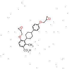 Cc1c(C(=O)O)ccc(OCC2CO2)c1C1CCC(c2ccc(OCC3CO3)cc2)CC1